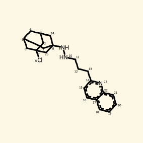 ClC12CC3CC(C1)CC(NNCCCc1ccc4ccccc4n1)(C3)C2